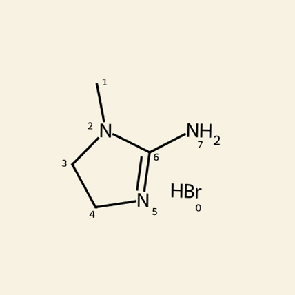 Br.CN1CCN=C1N